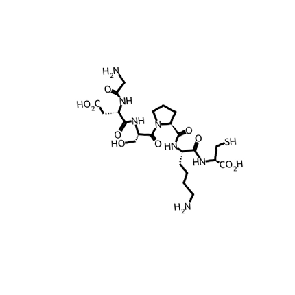 NCCCC[C@H](NC(=O)[C@@H]1CCCN1C(=O)[C@H](CO)NC(=O)[C@H](CC(=O)O)NC(=O)CN)C(=O)N[C@@H](CS)C(=O)O